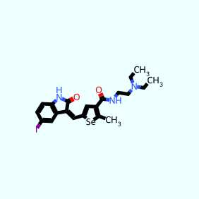 CCN(CC)CCNC(=O)c1cc(C=C2C(=O)Nc3ccc(I)cc32)[se]c1C